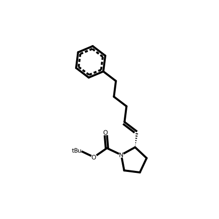 CC(C)(C)OC(=O)N1CCC[C@H]1C=CCCCc1ccccc1